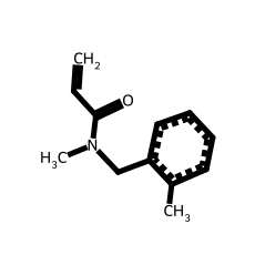 C=CC(=O)N(C)Cc1ccccc1C